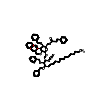 CCCCCCCCCCCCCC[C@@H](OCc1ccccc1)[C@@H](OCc1ccccc1)[C@H](CO[C@H]1O[C@H](COC(=O)CCc2ccccc2)[C@H](OCc2ccccc2)[C@H](OCc2ccccc2)[C@H]1OCc1ccccc1)N=[N+]=[N-]